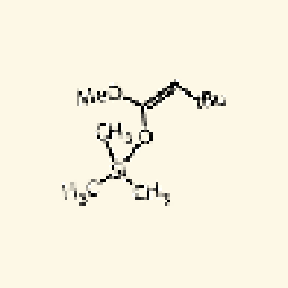 CO/C(=C/C(C)(C)C)O[Si](C)(C)C